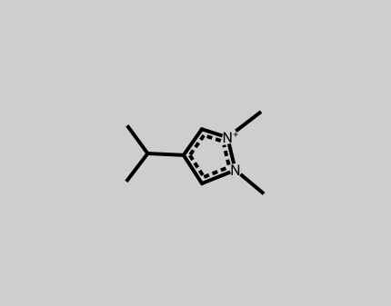 CC(C)c1cn(C)[n+](C)c1